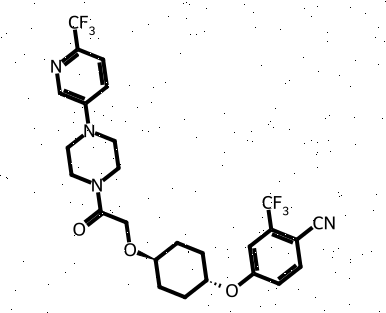 N#Cc1ccc(O[C@H]2CC[C@H](OCC(=O)N3CCN(c4ccc(C(F)(F)F)nc4)CC3)CC2)cc1C(F)(F)F